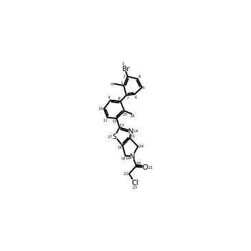 Cc1c(Br)cccc1-c1cccc(-c2nc3c(s2)CN(C(=O)CCl)C3)c1C